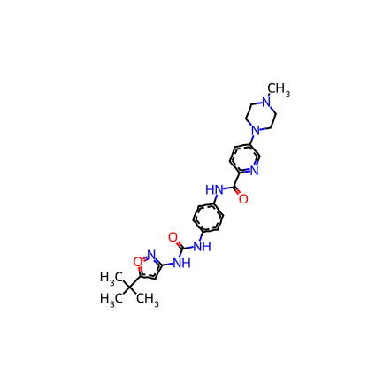 CN1CCN(c2ccc(C(=O)Nc3ccc(NC(=O)Nc4cc(C(C)(C)C)on4)cc3)nc2)CC1